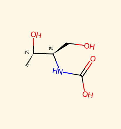 C[C@H](O)[C@@H](CO)NC(=O)O